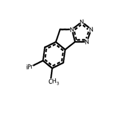 Cc1cc2c(cc1C(C)C)Cn1nnnc1-2